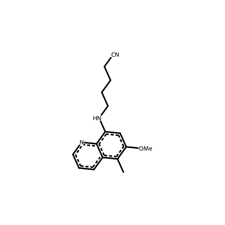 COc1cc(NCCCCC#N)c2ncccc2c1C